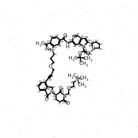 Cc1nn(CCCOCC#Cc2cccc3c2CN(C2CCC(=O)N(COCC[Si](C)(C)C)C2=O)C3=O)c2cc(C(=O)Nc3cc4c(cn3)cc([C@H]3CCCN3C)n4C(=O)OC(C)(C)C)ccc12